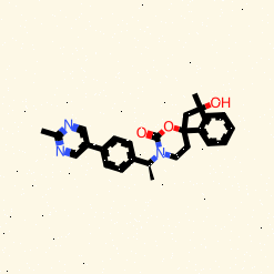 Cc1ncc(-c2ccc([C@H](C)N3CCC(CC(C)(C)O)(c4ccccc4)OC3=O)cc2)cn1